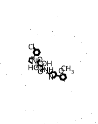 COc1ccccc1-c1ccc(CNC(=O)[C@H](O)[C@@H](O)C(=O)N2CCC[C@@H]2c2cccc(Cl)c2)nc1